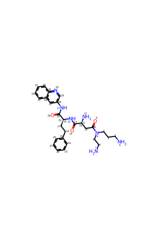 NCCCN(CCN)C(=O)C[C@H](N)C(=O)N[C@@H](CCc1ccccc1)C(=O)Nc1cnc2ccccc2c1